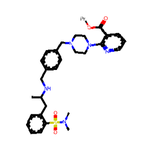 CC(Cc1ccccc1S(=O)(=O)N(C)C)NCc1ccc(CN2CCN(c3ncccc3C(=O)OC(C)C)CC2)cc1